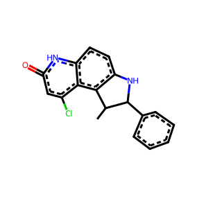 CC1c2c(ccc3[nH]c(=O)cc(Cl)c23)NC1c1ccccc1